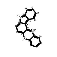 c1ccc2sc3ccc4nc5ccccc5c4c3nc2c1